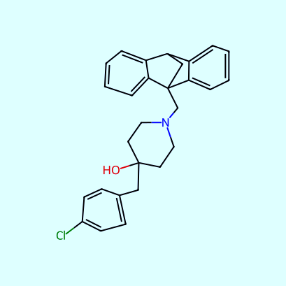 OC1(Cc2ccc(Cl)cc2)CCN(CC23CC(c4ccccc42)c2ccccc23)CC1